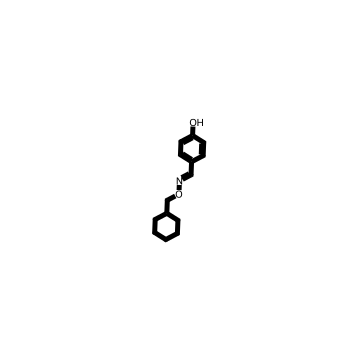 Oc1ccc(/C=N/OCC2CCCCC2)cc1